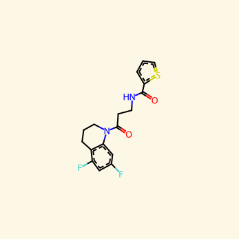 O=C(NCCC(=O)N1CCCc2c(F)cc(F)cc21)c1cccs1